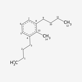 CCCCc1cccc(CCCC)c1C